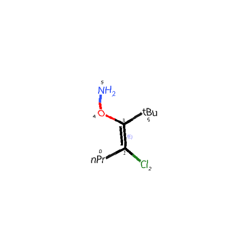 CCC/C(Cl)=C(\ON)C(C)(C)C